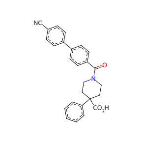 N#Cc1ccc(-c2ccc(C(=O)N3CCC(C(=O)O)(c4ccccc4)CC3)cc2)cc1